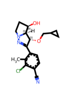 Cc1c(C2=NN3CC[C@@H](O)[C@H]3[C@@H]2OCC2CC2)ccc(C#N)c1Cl